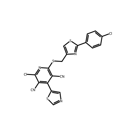 [C-]#[N+]c1c(Cl)nc(SCc2csc(-c3ccc(Cl)cc3)n2)c(C#N)c1-c1cncs1